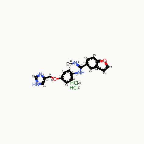 CCN=C(Nc1ccc(OCc2c[nH]cn2)cc1)c1ccc2occc2c1.Cl.Cl